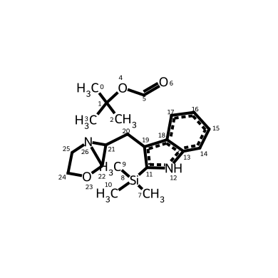 CC(C)(C)OC=O.C[Si](C)(C)c1[nH]c2ccccc2c1CC1C2OCCN12